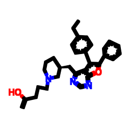 C=C(O)CCCN1CCC[C@@H](Cc2ncnc3oc(-c4ccccc4)c(-c4ccc(CC)cc4)c23)C1